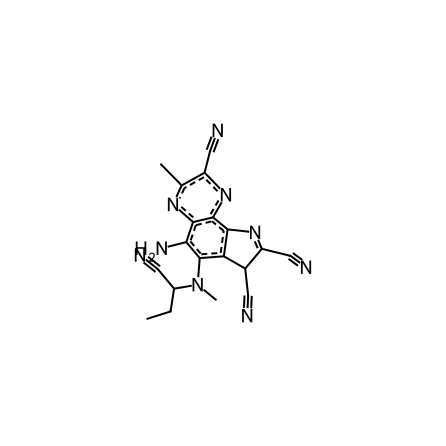 CCC(C#N)N(C)c1c2c(c3nc(C#N)c(C)nc3c1N)N=C(C#N)C2C#N